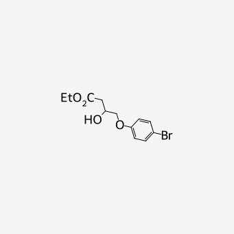 CCOC(=O)CC(O)COc1ccc(Br)cc1